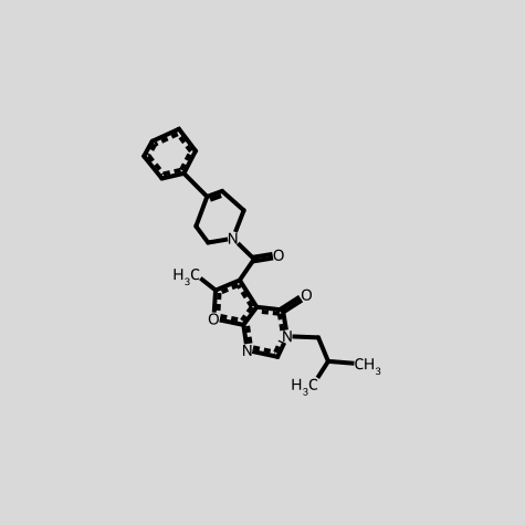 Cc1oc2ncn(CC(C)C)c(=O)c2c1C(=O)N1CC=C(c2ccccc2)CC1